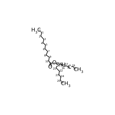 CCCCCCCCCCCC(=O)[O][SnH]([CH2]CCCCC)[CH2]CCCCC